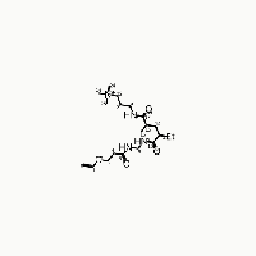 C=COCCC(=O)NCNC(=O)C(CC)CC(C)C(=O)NCCC[N+](C)(C)C